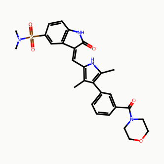 Cc1[nH]c(/C=C2\C(=O)Nc3ccc(S(=O)(=O)N(C)C)cc32)c(C)c1-c1cccc(C(=O)N2CCOCC2)c1